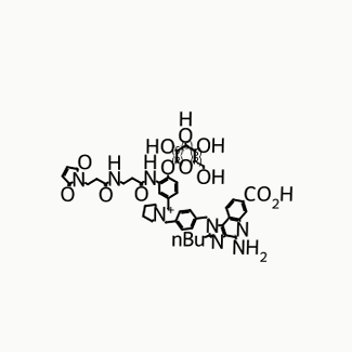 CCCCc1nc2c(N)nc3cc(C(=O)O)ccc3c2n1Cc1ccc(C[N+]2(Cc3ccc(O[C@H]4O[C@H](CO)[C@@H](O)[C@H](O)[C@@H]4O)c(NC(=O)CCNC(=O)CCN4C(=O)C=CC4=O)c3)CCCC2)cc1